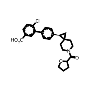 O=C(O)c1ccc(Cl)c(-c2ccc([C@H]3CC34CCN(C(=O)C3CCCO3)CC4)cc2)c1